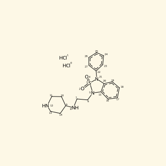 Cl.Cl.O=S1(=O)N(CCNC2CCNCC2)c2ccccc2N1c1ccccc1